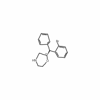 Brc1ccccc1C(c1ccccc1)[C@@H]1CNCCO1